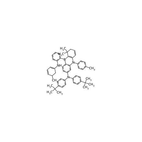 Cc1ccc(N2C3=C(B(c4ccccc4NC4=CC=CC(C)C4)c4ccc(N(c5ccc(C(C)(C)C)cc5)c5ccc(C(C)(C)C)cc5)cc42)C(C)(C)CC=C3)cc1